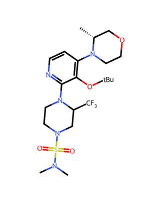 C[C@@H]1COCCN1c1ccnc(N2CCN(S(=O)(=O)N(C)C)CC2C(F)(F)F)c1OC(C)(C)C